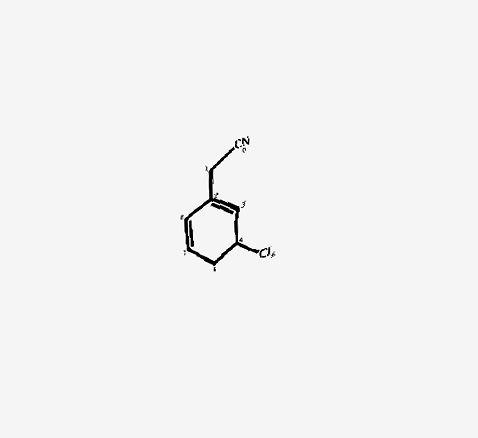 N#CCC1=CC(Cl)CC=C1